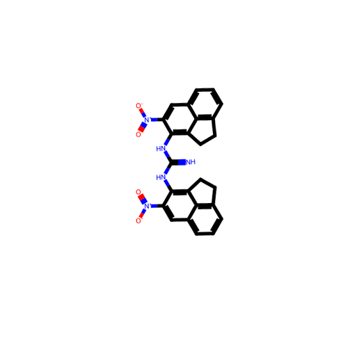 N=C(Nc1c([N+](=O)[O-])cc2cccc3c2c1CC3)Nc1c([N+](=O)[O-])cc2cccc3c2c1CC3